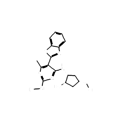 CCNc1nc(C)c(-c2nc3ccccc3s2)c(N[C@@H]2C[C@H](CO)C[C@H]2O)n1